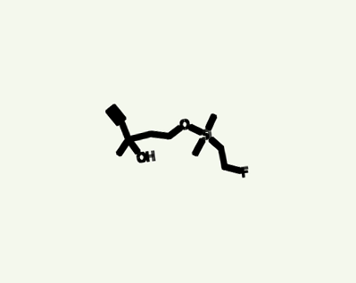 C#CC(C)(O)CCO[Si](C)(C)CCF